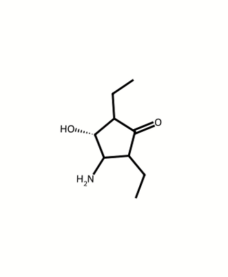 CCC1C(=O)C(CC)[C@@H](O)C1N